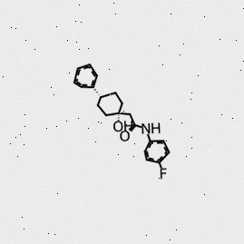 O=C(C[C@]1(O)CC[C@@H](c2ccccc2)CC1)Nc1ccc(F)cc1